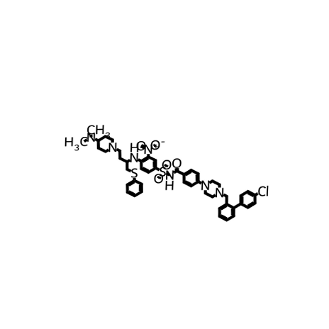 CN(C)C1CCN(CCC(CSc2ccccc2)Nc2ccc(S(=O)(=O)NC(=O)c3ccc(N4CCN(Cc5ccccc5-c5ccc(Cl)cc5)CC4)cc3)cc2[N+](=O)[O-])CC1